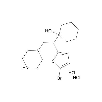 Cl.Cl.OC1(C(CN2CCNCC2)c2ccc(Br)s2)CCCCC1